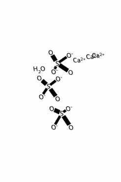 O.O=S(=O)([O-])[O-].O=S(=O)([O-])[O-].O=S(=O)([O-])[O-].[Ca+2].[Ca+2].[Ca+2]